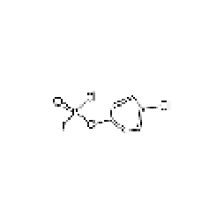 O=P(Cl)(I)Oc1ccc(Cl)cc1